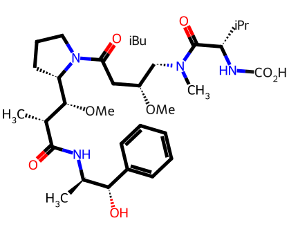 CC[C@H](C)[C@@H]([C@@H](CC(=O)N1CCC[C@H]1[C@H](OC)[C@@H](C)C(=O)N[C@H](C)[C@@H](O)c1ccccc1)OC)N(C)C(=O)[C@@H](NC(=O)O)C(C)C